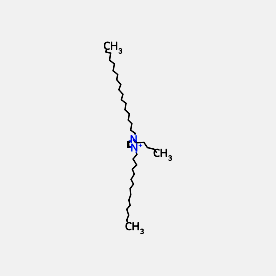 CCCCCCCCCCCCCCCCCCCn1cc[n+](CCCCCCCCCCCCCCC)c1CCCC